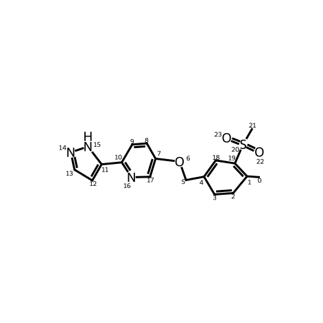 Cc1ccc(COc2ccc(-c3ccn[nH]3)nc2)cc1S(C)(=O)=O